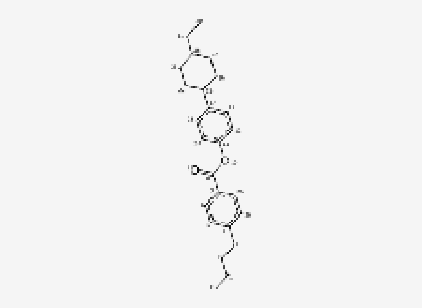 CCCCc1ccc(C(=O)Oc2ccc(C3CCC(CC)CC3)cc2)cc1